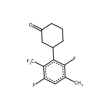 Cc1cc(F)c(C(F)(F)F)c(C2CCCC(=O)C2)c1F